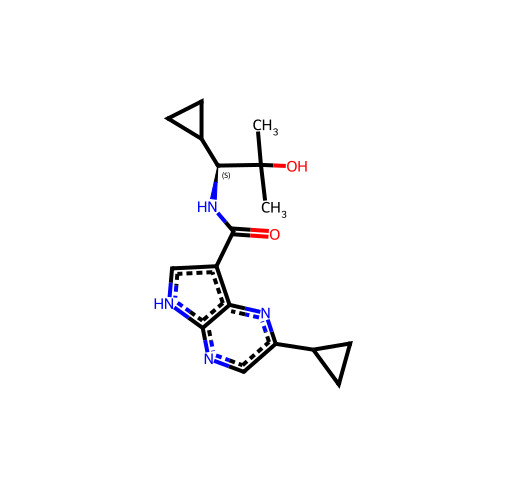 CC(C)(O)[C@@H](NC(=O)c1c[nH]c2ncc(C3CC3)nc12)C1CC1